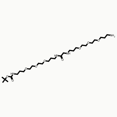 CC(C)(C)OC(=O)NCCCOCCOCCOCCCNC(=O)CNCCCOCCOCCOCCCN